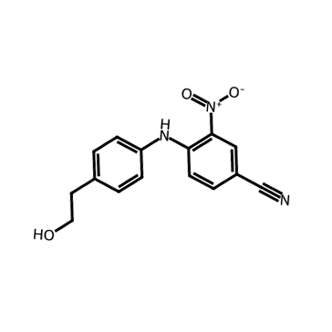 N#Cc1ccc(Nc2ccc(CCO)cc2)c([N+](=O)[O-])c1